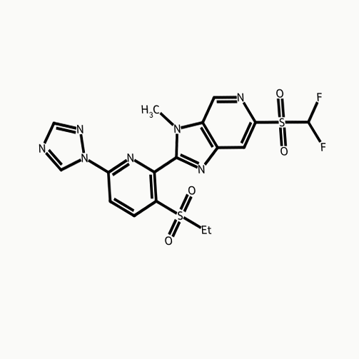 CCS(=O)(=O)c1ccc(-n2cncn2)nc1-c1nc2cc(S(=O)(=O)C(F)F)ncc2n1C